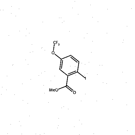 COC(=O)c1cc(OC(F)(F)F)ccc1I